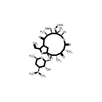 C=CC1O[C@]2(C)C[C@]1(F)C(=O)[C@@H](C)[C@@H](NC)[C@](C)(OC=O)[C@@H](CC)OC(=O)[C@H](C)C(=O)[C@H](C)[C@H]2O[C@@H]1O[C@H](C)C[C@H](N(C)C)[C@H]1O